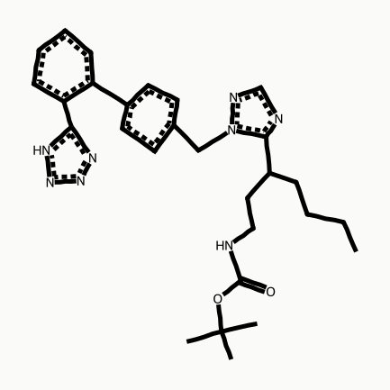 CCCCC(CCNC(=O)OC(C)(C)C)c1ncnn1Cc1ccc(-c2ccccc2-c2nnn[nH]2)cc1